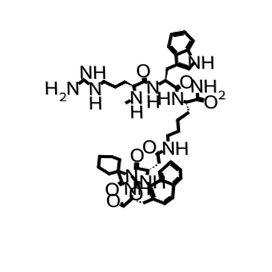 CN[C@@H](CCCNC(=N)N)C(=O)N[C@@H](Cc1c[nH]c2ccccc12)C(=O)N[C@@H](CCCCNC(=O)C[C@@H]1NC(=O)N(C2(C(=O)N[C@@H](C=O)Cc3ccc4ccccc4c3)CCCCC2)C1=O)C(N)=O